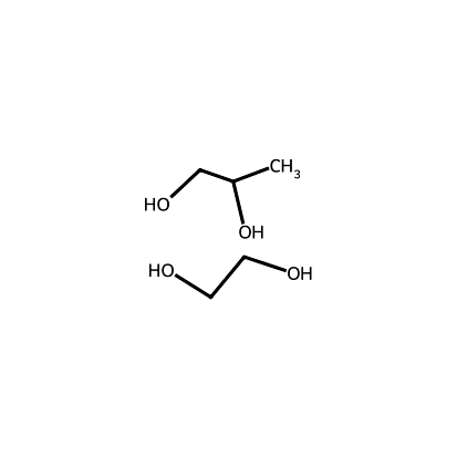 CC(O)CO.OCCO